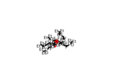 CCC(CC)C(=O)OCCC(F)(F)OC(F)(F)C(COCC(F)(F)COC(=O)C(CC)CC)(COCC(F)(F)COC(=O)C(CC)CC)C(F)(F)OC(F)(F)C(COCC(F)(F)COC(=O)C(CC)CC)(C(F)(F)OC(F)F)C(F)(F)OC(F)(F)CCOC(=O)C(CC)CC